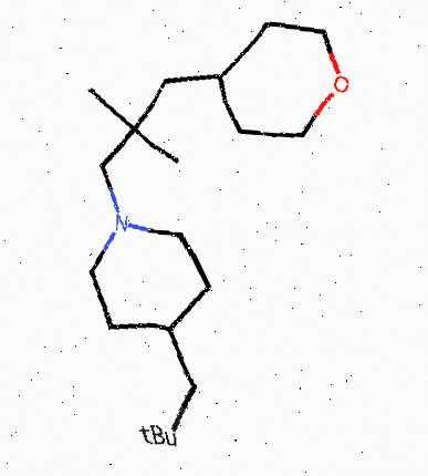 CC(C)(C)CC1CCN(CC(C)(C)CC2CCOCC2)CC1